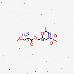 COC[C@H](N)C(=O)OC[C@H](CNS(C)(=O)=O)OC(C)C